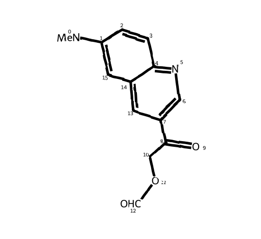 CNc1ccc2ncc(C(=O)COC=O)cc2c1